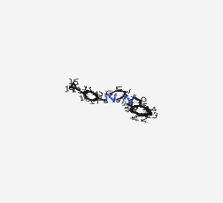 C1=CN(C2CCCN(Cc3ccc(C4CC4)cc3)C2)Cc2ccccc21